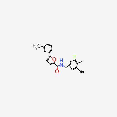 C#Cc1cc(CNC(=O)c2ccc(-c3cccc(C(F)(F)F)c3)o2)cc(F)c1C